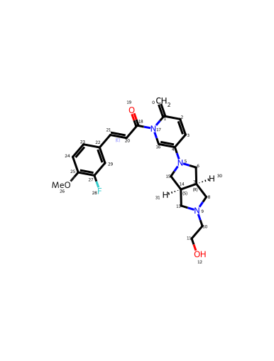 C=C1C=CC(N2C[C@H]3CN(CCO)C[C@H]3C2)=CN1C(=O)/C=C/c1ccc(OC)c(F)c1